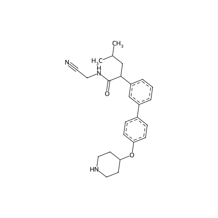 CC(C)CC(C(=O)NCC#N)c1cccc(-c2ccc(OC3CCNCC3)cc2)c1